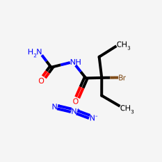 CCC(Br)(CC)C(=O)NC(N)=O.[N-]=[N+]=[N-]